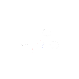 COC(=O)c1nc(-c2ccccc2)c(-c2ccccc2)o1